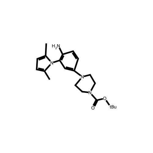 Cc1ccc(C)n1-c1cc(N2CCN(C(=O)OC(C)(C)C)CC2)ccc1N